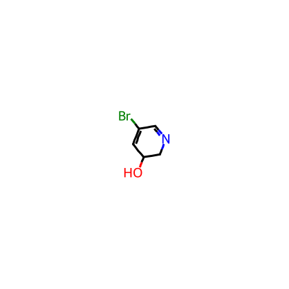 OC1C=C(Br)C=NC1